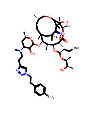 CC[C@H]1OC(=O)[C@H](C)[C@@H](O[C@@H](CCOC)O[C@@H](C)[C@@H](C)O)[C@@H](C)[C@@H](O[C@@H]2O[C@H](C)C[C@H](N(C)CCc3cn(CCc4ccc([N+](=O)[O-])cc4)nn3)C2O)[C@]2(C)CC[C@H](C)COC([C@H](C)/C(=N/O)[C@@H](C)C2)[C@]1(C)O